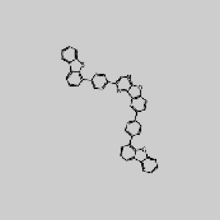 c1ccc2c(c1)oc1c(-c3ccc(-c4ccc5oc6ncc(-c7ccc(-c8cccc9c8sc8ccccc89)cc7)nc6c5c4)cc3)cccc12